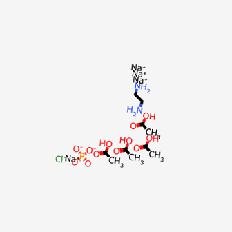 CC(=O)O.CC(=O)O.CC(=O)O.CC(=O)O.NCCN.O=P([O-])([O-])[O-].[Cl-].[Na+].[Na+].[Na+].[Na+]